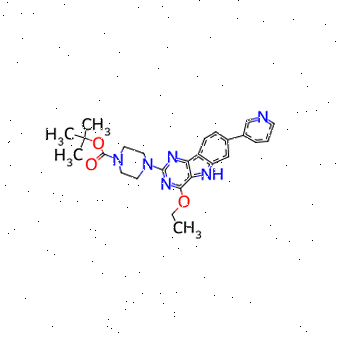 CCOc1nc(N2CCN(C(=O)OC(C)(C)C)CC2)nc2c1[nH]c1cc(-c3cccnc3)ccc12